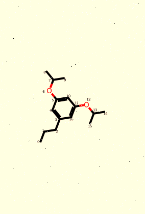 CCCc1cc(OC(C)C)cc(OC(C)C)c1